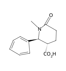 CN1C(=O)CC[C@H](C(=O)O)[C@H]1c1ccccc1